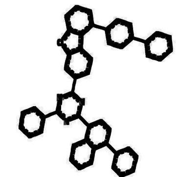 c1ccc(-c2ccc(-c3cccc4oc5cc(-c6nc(-c7ccccc7)nc(-c7ccc(-c8ccccc8)c8ccccc78)n6)ccc5c34)cc2)cc1